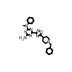 CN(c1ccccc1)c1nc(N)nc(-c2noc(C3CCN(Cc4ccccc4)CC3)n2)n1